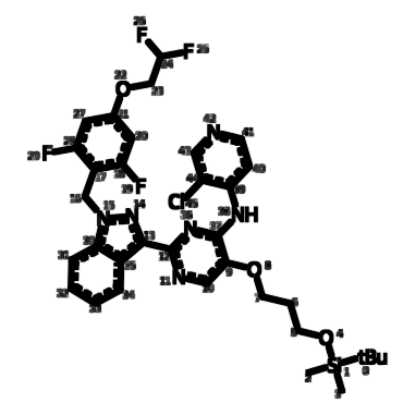 CC(C)(C)[Si](C)(C)OCCCOc1cnc(-c2nn(Cc3c(F)cc(OCC(F)F)cc3F)c3ccccc23)nc1Nc1ccncc1Cl